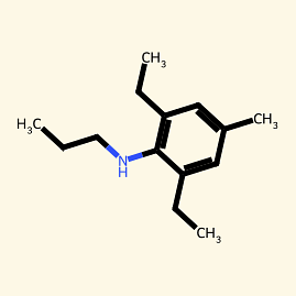 C[CH]CNc1c(CC)cc(C)cc1CC